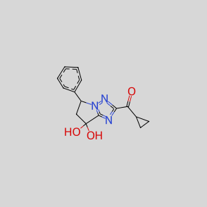 O=C(c1nc2n(n1)C(c1ccccc1)CC2(O)O)C1CC1